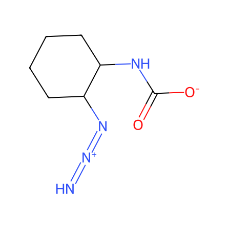 N=[N+]=NC1CCCCC1NC(=O)[O-]